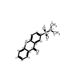 CN(C)S(=O)(=O)c1ccc2sc3ccccc3c(=O)c2c1